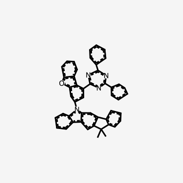 CC1(C)c2ccccc2-c2cc3c(cc21)c1ccccc1n3-c1cc(-c2nc(-c3ccccc3)nc(-c3ccccc3)n2)c2c(c1)oc1ccccc12